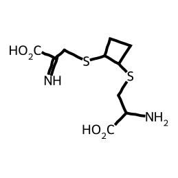 N=C(CSC1CCC1SCC(N)C(=O)O)C(=O)O